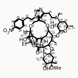 C=C1CO[C@@H]2[C@@H](C)/C(=N/O)[C@H](C)C[C@@](C)(OC1)[C@H](OC1O[C@H](C)C[C@H](N(C)CCc3cn(CCc4ccc([N+](=O)[O-])cc4)nn3)[C@H]1O)[C@@H](C)C(O[C@H]1C[C@@](C)(OC)[C@@H](O)[C@H](C)O1)[C@@H](C)C(=O)O[C@H](CC)[C@@]2(C)O